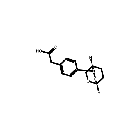 O=C(O)Cc1ccc(N2C[C@@H]3CC[C@H]2CO3)cc1